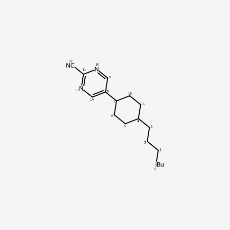 CCC(C)CCCC1CCC(c2cnc(C#N)nc2)CC1